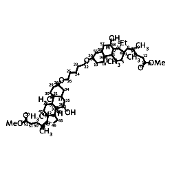 CC[C@H]1C2C(CC[C@]1(C)C[C@H](C)CCC(=O)OC)[C@@]1(C)CC[C@@H](OCCCCCO[C@@H]3CC[C@@]4(C)C(C3)C[C@H](O)[C@@H]3C4CC[C@@]4(C)C3CC[C@@H]4[C@H](C)CCC(=O)OC)CC1C[C@H]2O